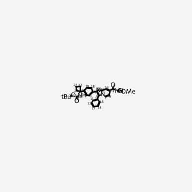 COCNC(=O)c1ccn2c(-c3ccccc3)c(-c3ccc(C4(NC(=O)OC(C)(C)C)CCC4)cc3)nc2c1